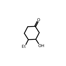 CCC1CCC(=O)CC1O